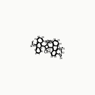 CN(C)c1c2ccccc2c(C2C(O)C(c3c4cccc5c4c(c4cccc(O)c34)N(C)CN5C)C2O)c2ccccc12